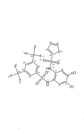 O=S(=O)(Nc1cc(Cl)c(Cl)cc1NS(=O)(=O)c1cccs1)c1cc(C(F)(F)F)cc(C(F)(F)F)c1